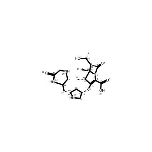 C[C@@H](O)[C@H]1C(=O)N2C(C(=O)O)=C(S[C@@H]3CN[C@H](CC4CNCC(=O)N4)C3)[C@H](C)[C@H]12